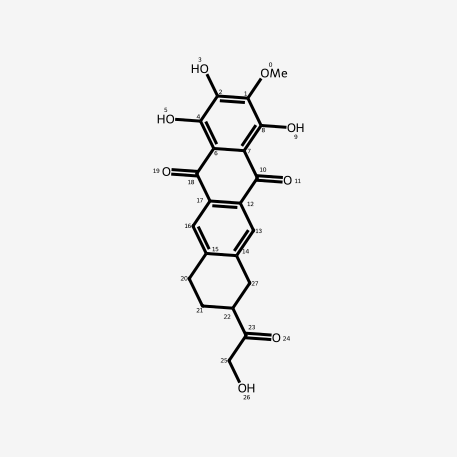 COc1c(O)c(O)c2c(c1O)C(=O)c1cc3c(cc1C2=O)CCC(C(=O)CO)C3